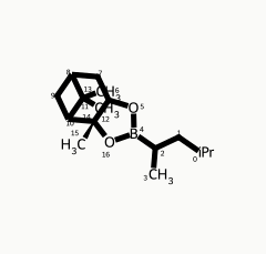 CC(C)CC(C)B1OC2CC3CC(C3(C)C)[C@@]2(C)O1